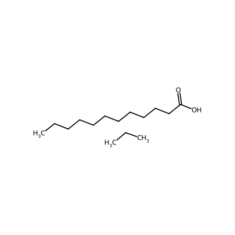 CCC.CCCCCCCCCCCC(=O)O